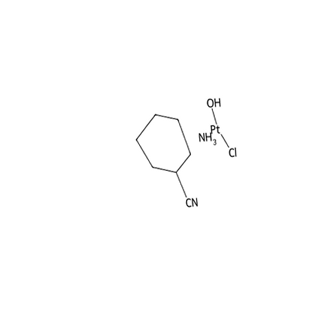 N.N#CC1CCCCC1.[OH][Pt][Cl]